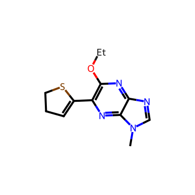 CCOc1nc2ncn(C)c2nc1C1=CCCS1